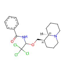 O=C(NC(OC[C@@H]1CCCN2CCCC[C@H]12)C(Cl)(Cl)Cl)c1ccccc1